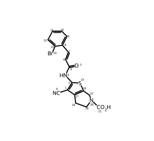 N#Cc1c(NC(=O)C=Cc2ccccc2Br)sc2c1CCN(C(=O)O)C2